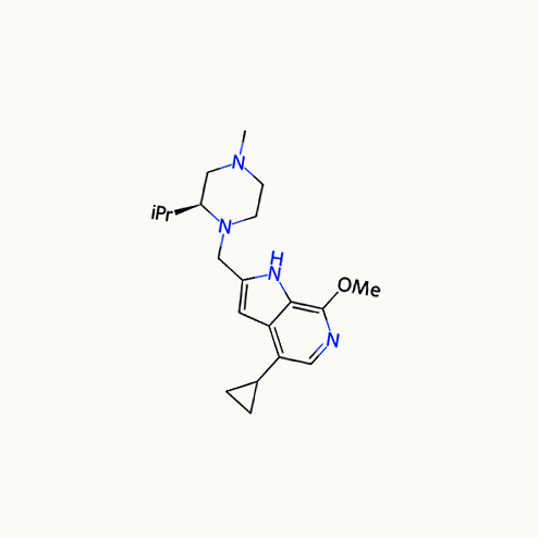 COc1ncc(C2CC2)c2cc(CN3CCN(C)C[C@@H]3C(C)C)[nH]c12